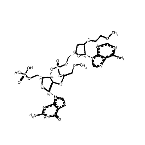 COCCOC1C[C@@H](COP(=O)(O)O[C@@H]2C(OCCOC)[C@H](n3cnc4c(=O)[nH]c(N)nc43)O[C@@H]2COP(=O)(O)O)O[C@H]1n1cnc2c(N)ncnc21